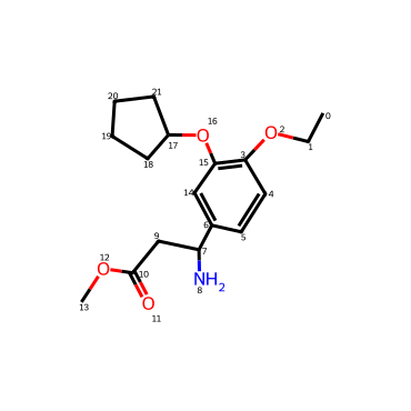 CCOc1ccc(C(N)CC(=O)OC)cc1OC1CCCC1